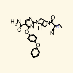 C/C=C(\C#N)C(=O)N1C[C@@H]2C1CN2c1ncc(C(N)=O)c(Oc2ccc(Oc3ccccc3)cc2)n1